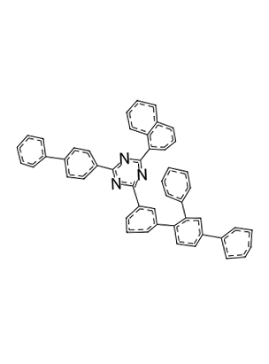 c1ccc(-c2ccc(-c3nc(-c4cccc(-c5ccc(-c6ccccc6)cc5-c5ccccc5)c4)nc(-c4cccc5ccccc45)n3)cc2)cc1